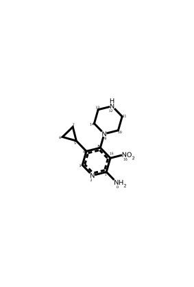 Nc1ncc(C2CC2)c(N2CCNCC2)c1[N+](=O)[O-]